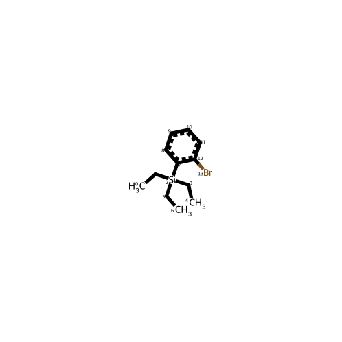 CC[Si](CC)(CC)c1ccccc1Br